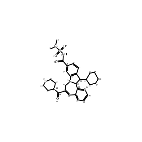 CN(C)S(=O)(=O)NC(=O)c1ccc2c(c1)N1CC(C(=O)N3CCOCC3)=Cc3cccnc3C1C2C1CCCCC1